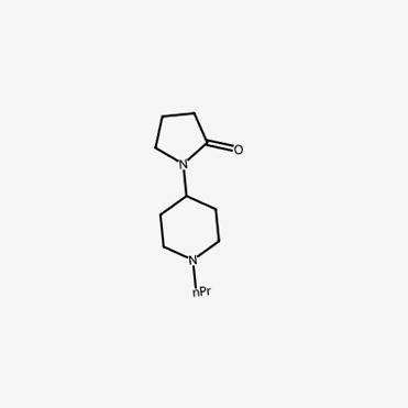 CCCN1CCC(N2CCCC2=O)CC1